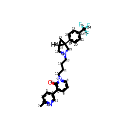 Cc1ccc(-c2cccn(CCCCN3C[C@@H]4C[C@]4(c4ccc(C(F)(F)F)cc4)C3)c2=O)cn1